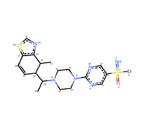 CCS(=N)(=O)c1cnc(N2CCN(C(C)C3C=Cc4scnc4C3C)CC2)nc1